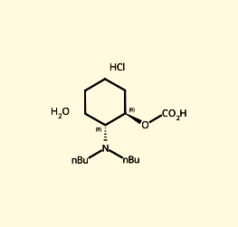 CCCCN(CCCC)[C@@H]1CCCC[C@H]1OC(=O)O.Cl.O